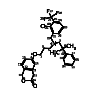 CC(C)(CN(CCCOc1ccc2c(c1)CC(=O)OC2)Cc1cccc(C(F)(F)F)c1Cl)c1ccccc1